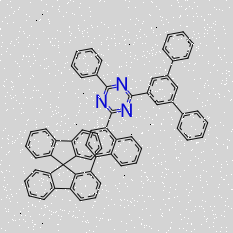 c1ccc(-c2cc(-c3ccccc3)cc(-c3nc(-c4ccccc4)nc(-c4ccc(-c5cccc6c5C5(c7ccccc7-c7ccccc75)c5ccccc5-6)c5ccccc45)n3)c2)cc1